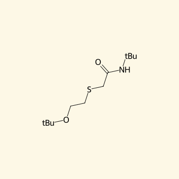 CC(C)(C)NC(=O)CSCCOC(C)(C)C